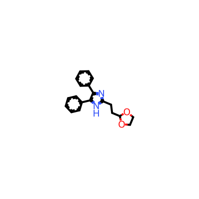 c1ccc(-c2nc(CCC3OCCO3)[nH]c2-c2ccccc2)cc1